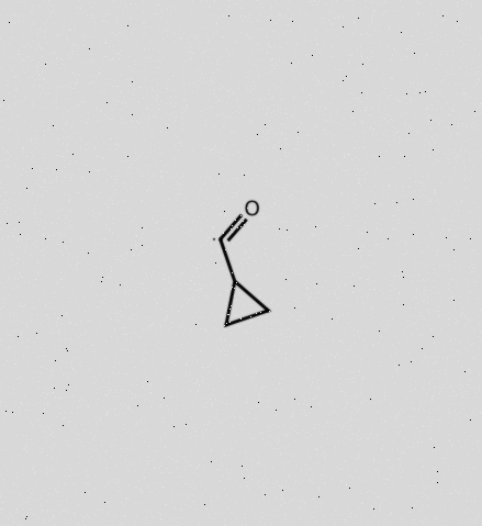 O=[C]C1CC1